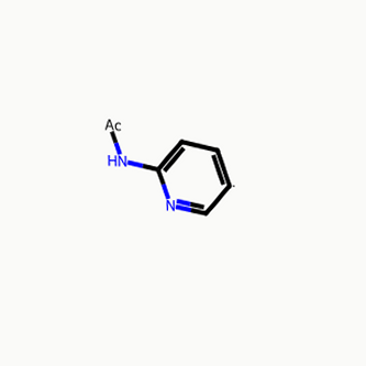 CC(=O)Nc1cc[c]cn1